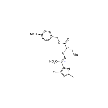 COc1ccc(COC(=O)[C@H](CC(C)(C)C)O/N=C(\C(=O)O)c2nc(C)sc2Cl)cc1